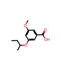 CCC(C)Oc1cc(OC)cc(C(=O)O)c1